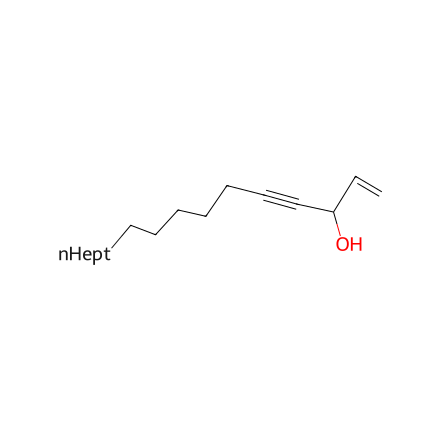 C=CC(O)C#CCCCCCCCCCCCC